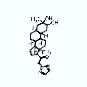 C[C@H]1C[C@H]2[C@@H](CC[C@@H]3[C@@H]2CC[C@]2(C)[C@@H](C(=O)Cn4nccn4)CC[C@@H]32)C[C@]1(C)O